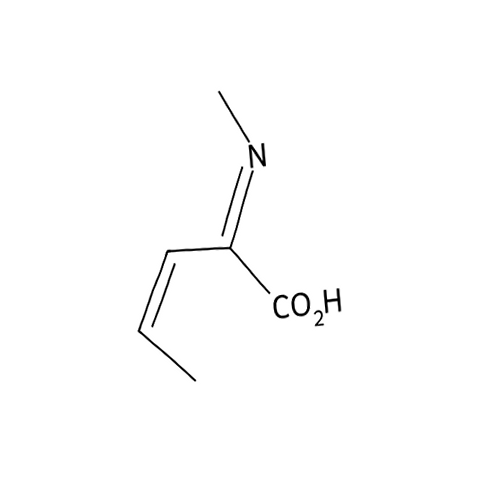 C/C=C\C(=N/C)C(=O)O